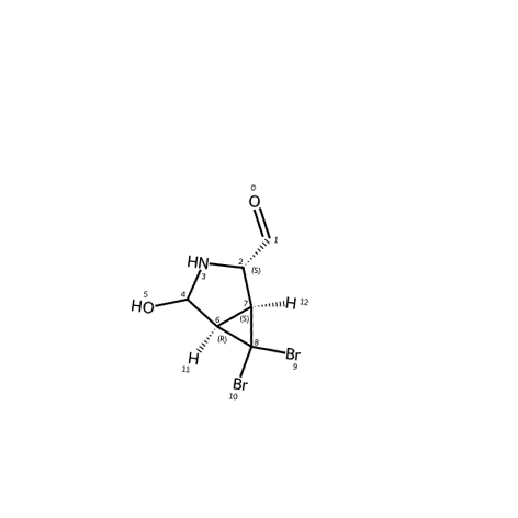 O=C[C@H]1NC(O)[C@H]2[C@@H]1C2(Br)Br